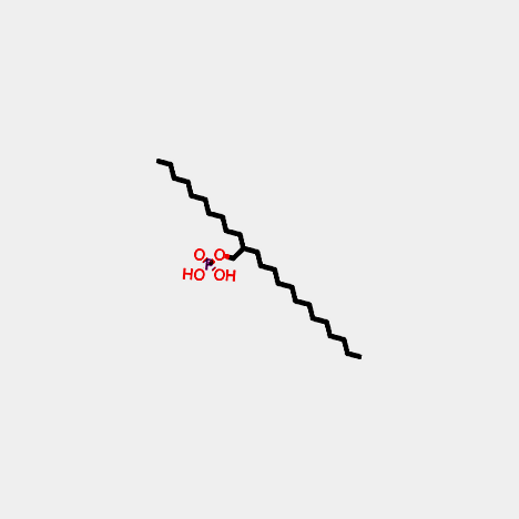 CCCCCCCCCCCCCC(CCCCCCCCCC)COP(=O)(O)O